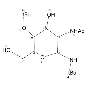 CC(=O)NC1C(NC(C)(C)C)OC(CO)C(OC(C)(C)C)C1O